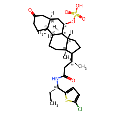 CC[C@H](NC(=O)C[C@@H](C)C1CC[C@H]2[C@@H]3[C@H](OS(=O)(=O)O)C[C@@H]4CC(=O)CC[C@]4(C)[C@H]3CC[C@]12C)c1ccc(Cl)s1